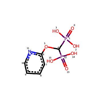 O=P(O)(O)C(Oc1ccccn1)P(=O)(O)O